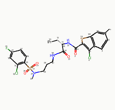 Cc1ccc2c(Cl)c(C(=O)N[C@@H](CC(C)C)C(=O)NCCCN(C)S(=O)(=O)c3ccc(F)cc3Cl)sc2c1